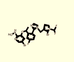 CC(Oc1cc(Br)cnc1NO)c1cc(F)ccc1-c1nccn1Cc1ccn(C(F)F)c1Br